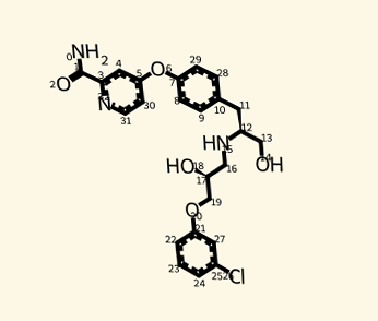 NC(=O)c1cc(Oc2ccc(C[C@@H](CO)NC[C@H](O)COc3cccc(Cl)c3)cc2)ccn1